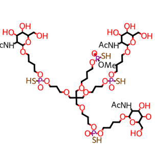 COP(=O)(S)OCCCCOCC(COCCCOP(=O)(S)OCCCCO[C@@H]1OC(CO)[C@H](O)[C@H](O)C1NC(C)=O)(COCCCOP(=O)(S)OCCCCO[C@@H]1OC(CO)[C@H](O)[C@H](O)C1NC(C)=O)COCCCOP(=O)(S)OCCCCO[C@@H]1OC(CO)[C@H](O)[C@H](O)C1NC(C)=O